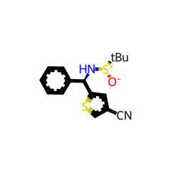 CC(C)(C)[S+]([O-])N[C@H](c1ccccc1)c1cc(C#N)cs1